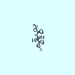 CCOC(=O)CNNC(=O)OC